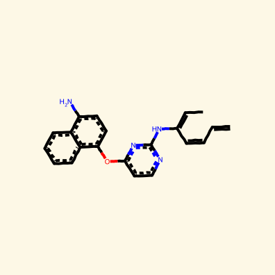 C=C/C=C\C(=C/C)Nc1nccc(Oc2ccc(N)c3ccccc23)n1